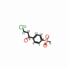 CS(=O)(=O)c1ccc(C(=O)CCCl)cc1